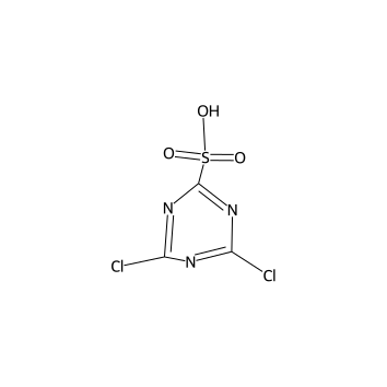 O=S(=O)(O)c1nc(Cl)nc(Cl)n1